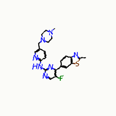 Cc1nc2ccc(-c3nc(Nc4ccc(CN5CCN(C)CC5)cn4)ncc3F)cc2s1